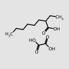 CCCCCCC(CC)C(=O)O.O=C(O)C(=O)O